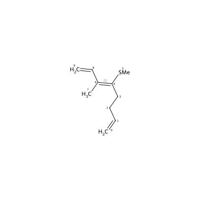 C=CCC/C(SC)=C(\C)C=C